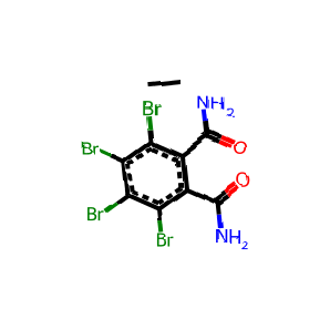 CC.NC(=O)c1c(Br)c(Br)c(Br)c(Br)c1C(N)=O